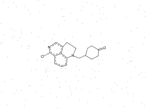 O=C1CCC(CN2CCc3cnc(Cl)c4cccc2c34)CC1